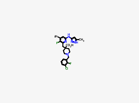 Cc1cc(Nc2cc(C(C)C)c(F)c(CC3(C(=O)O)CCN(Cc4cccc(Cl)c4F)CC3)n2)n[nH]1